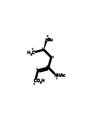 CCCC[C@@H](C)CC(=CC(=O)O)NC(C)=O